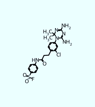 CC1(C)N=C(N)N=C(N)N1c1ccc(CCC(=O)Nc2ccc(S(=O)(=O)F)cc2)c(Cl)c1